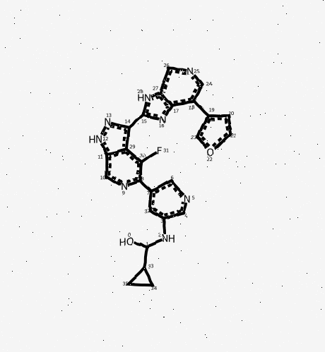 OC(Nc1cncc(-c2ncc3[nH]nc(-c4nc5c(-c6ccoc6)cncc5[nH]4)c3c2F)c1)C1CC1